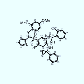 COc1ccc(CN(c2nccs2)S(=O)(=O)C2=C(F)C[C@](NC(C)c3ccccc3Cl)(NC3(c4ccccc4)CC3)C(Cl)=C2)c(OC)c1